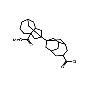 COC(=O)C12CCCC3CC1CC(C14CC5CC(C(=O)Cl)CC(C1)C(C5)C4)(C3)C2